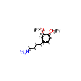 CC(C)Oc1ccc(CCCCN)cc1OC(C)C